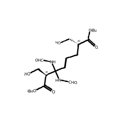 CC(C)COC(=O)[C@@H](CO)CCCC(NC=O)(NC=O)[C@H](CO)C(=O)OCC(C)C